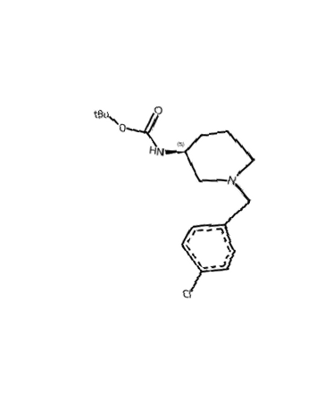 CC(C)(C)OC(=O)N[C@H]1CCCN(Cc2ccc(Cl)cc2)C1